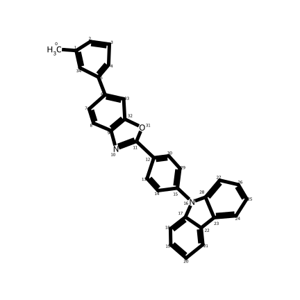 Cc1cccc(-c2ccc3nc(-c4ccc(-n5c6ccccc6c6ccccc65)cc4)oc3c2)c1